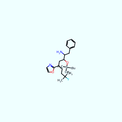 CC(C)(F)CCC(CC(O[Si](C)(C)C(C)(C)C)C(N)Cc1ccccc1)c1ncco1